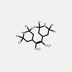 CCC1(CC)CC(/C(C(=O)O)=C(/C(=O)O)C2CC(CC)(CC)NC(CC)(CC)C2)CC(CC)(CC)N1